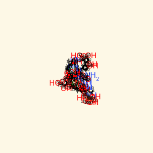 CN[C@H](CC(C)C)C(=O)N[C@H]1C(=O)N[C@@H](CC(N)=O)C(=O)N[C@H]2C(=O)N[C@H]3C(=O)N[C@H](C(=O)N[C@H](C(=O)O)c4cc(O)cc(O)c4-c4cc3ccc4O)[C@H](O)c3ccc(c(Cl)c3)Oc3cc2cc(c3O[C@@H]2O[C@H](CO)[C@@H](O)[C@H](O)[C@H]2O[C@H]2C[C@](C)(NC(=O)OCOC(=O)CCCC(=O)NC(P(=O)(O)O)P(=O)(O)O)[C@H](O)[C@H](C)O2)Oc2ccc(cc2Cl)[C@H]1O